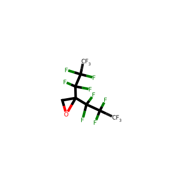 FC(F)(F)C(F)(F)C(F)(F)C1(C(F)(F)C(F)(F)C(F)(F)F)CO1